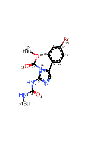 CC(C)(C)NC(=O)Nc1ncc(-c2ccc(Br)cc2)n1C(=O)OC(C)(C)C